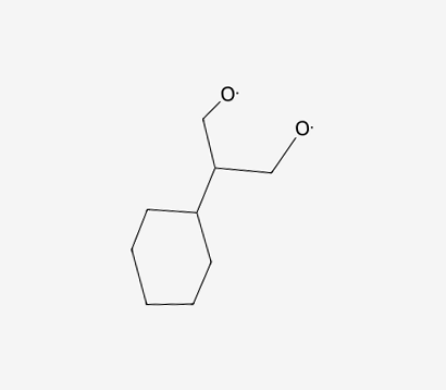 [O]CC(C[O])C1CCCCC1